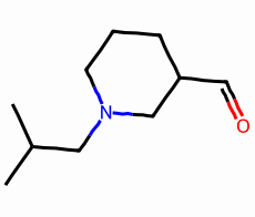 CC(C)CN1CCCC(C=O)C1